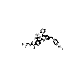 CCNC(=O)Nc1cc(C(F)(F)F)c(-c2nc(N3CCOC[C@@H]3C)c3cc(CN4CCN(C)CC4)cn3n2)cn1